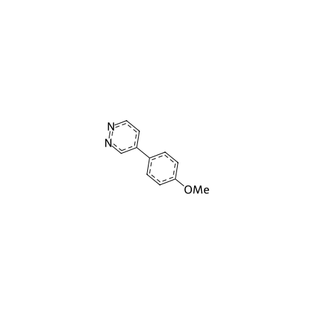 COc1ccc(-c2ccnnc2)cc1